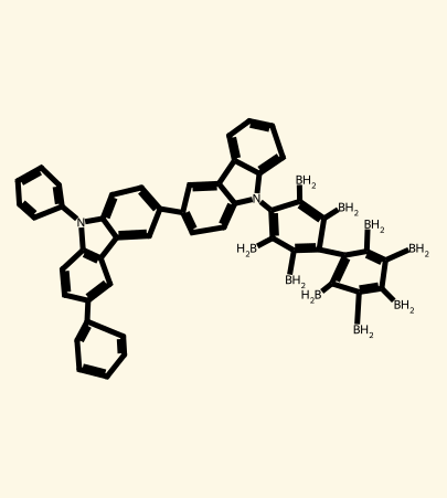 Bc1c(B)c(B)c(-c2c(B)c(B)c(-n3c4ccccc4c4cc(-c5ccc6c(c5)c5cc(-c7ccccc7)ccc5n6-c5ccccc5)ccc43)c(B)c2B)c(B)c1B